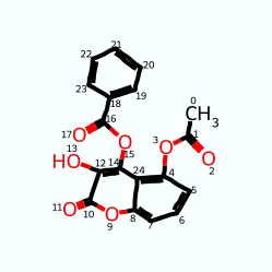 CC(=O)Oc1cccc2oc(=O)c(O)c(OC(=O)c3ccccc3)c12